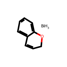 C1=Cc2ccccc2OC1.[BiH3]